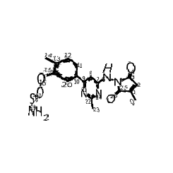 CC1=CC(=O)N(Nc2cc(-c3ccc(C)c(OOSN)c3)nc(C)n2)C1=O